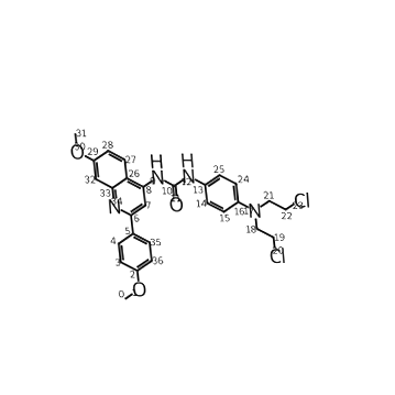 COc1ccc(-c2cc(NC(=O)Nc3ccc(N(CCCl)CCCl)cc3)c3ccc(OC)cc3n2)cc1